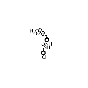 CS(=O)(=O)N1CCN(Cc2ccc(NC(=O)NCc3ccc(Cl)cc3)cc2)CC1